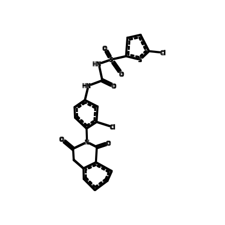 O=C(Nc1ccc(N2C(=O)Cc3ccccc3C2=O)c(Cl)c1)NS(=O)(=O)c1ccc(Cl)s1